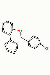 Clc1ccc(COc2[c]cccc2-c2ccccc2)cc1